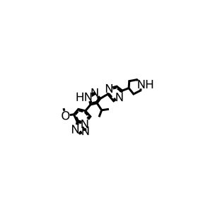 COc1cc(-c2[nH]nc(-c3cnc(C4CCNCC4)cn3)c2C(C)C)cn2ncnc12